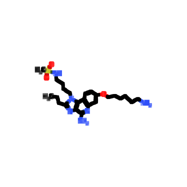 CCCc1nc2c(N)nc3cc(OCCCCCCN)ccc3c2n1CCCCNS(C)(=O)=O